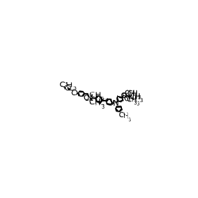 CCOCCOc1ccc(C[CH2][Ge]([CH3])([CH3])[c]2ccc(-c3ccc(N(c4ccc(C)cc4)c4ccc(O[Si](C)(C)C(C)(C)C)cc4)cc3)cc2)cc1